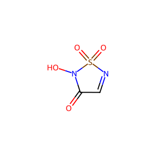 O=C1C=NS(=O)(=O)N1O